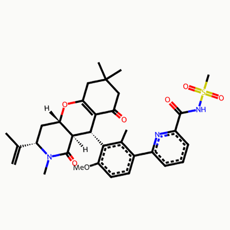 C=C(C)[C@@H]1C[C@@H]2OC3=C(C(=O)CC(C)(C)C3)[C@H](c3c(OC)ccc(-c4cccc(C(=O)NS(C)(=O)=O)n4)c3C)[C@H]2C(=O)N1C